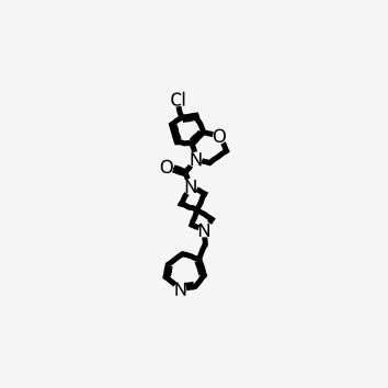 O=C(N1CC2(CN(CC3=CC=NC=CC3)C2)C1)N1CCOc2cc(Cl)ccc21